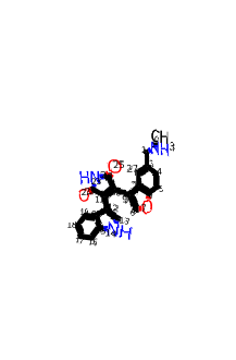 CNCc1ccc2occ(C3=C(c4c[nH]c5ccccc45)C(=O)NC3=O)c2c1